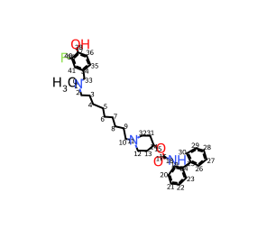 CN(CCCCCCCCCN1CCC(OC(=O)Nc2ccccc2-c2ccccc2)CC1)Cc1ccc(O)c(F)c1